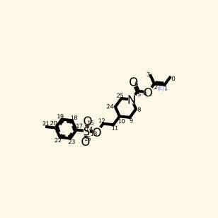 C/C=C(\C)OC(=O)N1CCC(CCOS(=O)(=O)c2ccc(C)cc2)CC1